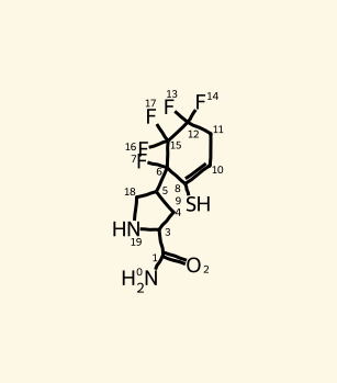 NC(=O)C1CC(C2(F)C(S)=CCC(F)(F)C2(F)F)CN1